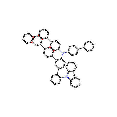 c1ccc(-c2ccc(-c3cc(-c4ccccc4-n4c5ccccc5c5ccccc54)ccc3N(c3ccc(-c4ccccc4)cc3)c3ccc(-c4cccc(-c5ccccc5)c4)cc3)cc2)cc1